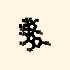 CC[C@@]1(C)O[C@@](C)(C2C(C)=C(C)c3c(C)nc(C)nc32)C(C)(C)C1(C)C